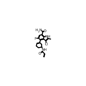 C=CC(=O)NC1CCC=C(c2c(F)cc(C(N)=O)c3[nH]c(C)c(Cl)c23)C1